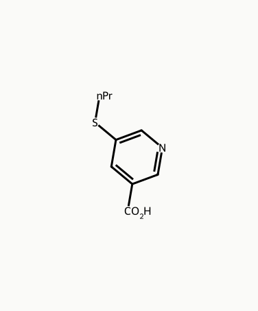 CCCSc1cncc(C(=O)O)c1